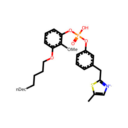 CCCCCCCCCCCCCCOc1cccc(OP(=O)(O)Oc2cccc(CC3=[N+]C=C(C)S3)c2)c1OC